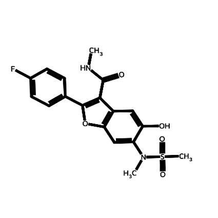 CNC(=O)c1c(-c2ccc(F)cc2)oc2cc(N(C)S(C)(=O)=O)c(O)cc12